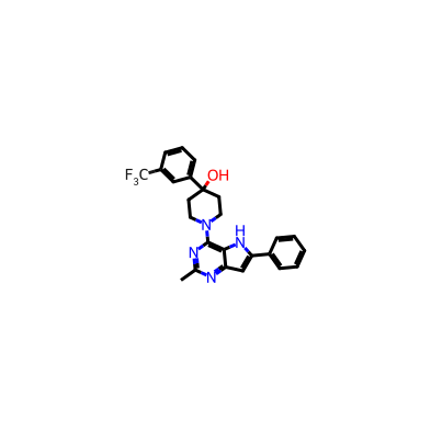 Cc1nc(N2CCC(O)(c3cccc(C(F)(F)F)c3)CC2)c2[nH]c(-c3ccccc3)cc2n1